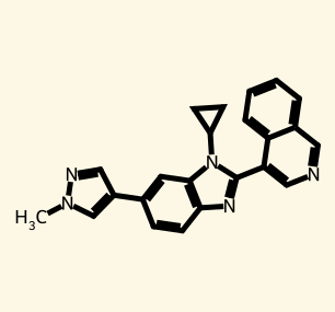 Cn1cc(-c2ccc3nc(-c4cncc5ccccc45)n(C4CC4)c3c2)cn1